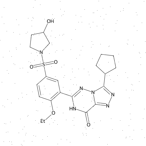 CCOc1ccc(S(=O)(=O)N2CCC(O)C2)cc1-c1nn2c(C3CCCC3)nnc2c(=O)[nH]1